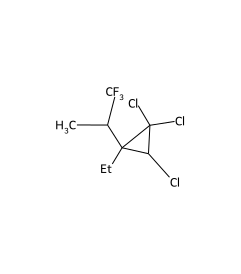 CCC1(C(C)C(F)(F)F)C(Cl)C1(Cl)Cl